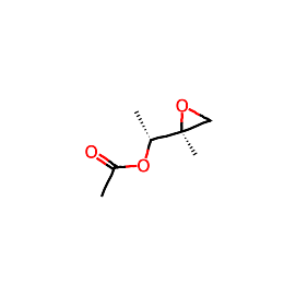 CC(=O)O[C@H](C)[C@]1(C)CO1